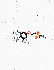 Cc1cc(OCCS(C)(=O)=O)cc(C)c1C